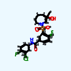 CC1(O)CCCCN(S(=O)(=O)c2cc(C(=O)Nc3ccc(F)c(Cl)c3)ccc2F)C1